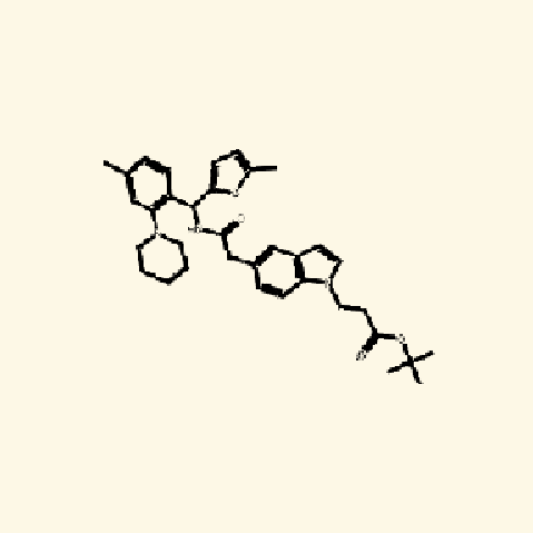 Cc1ccc(C(NC(=O)Cc2ccc3c(ccn3CCC(=O)OC(C)(C)C)c2)c2ccc(C)o2)c(N2CCCCC2)c1